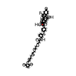 C[C@]12C=CC(=O)C=C1[C@@H](F)C[C@H]1[C@@H]3C[C@H]4O[C@@H](c5ccc(Sc6cccc(NC(=O)CCOCCOCCOCCOCCN7C(=O)C=CC7=O)c6)cc5)O[C@@]4(C(=O)CO)[C@@]3(C)C[C@H](O)[C@@]12F